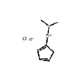 C[N](C)[Zr+2][C]1=CC=CC1.[Cl-].[Cl-]